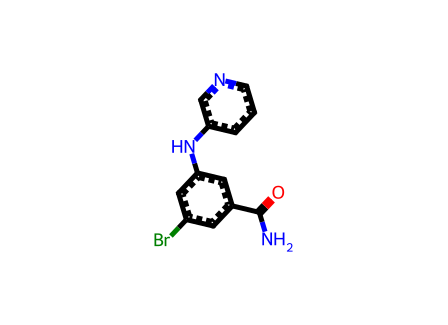 NC(=O)c1cc(Br)cc(Nc2cccnc2)c1